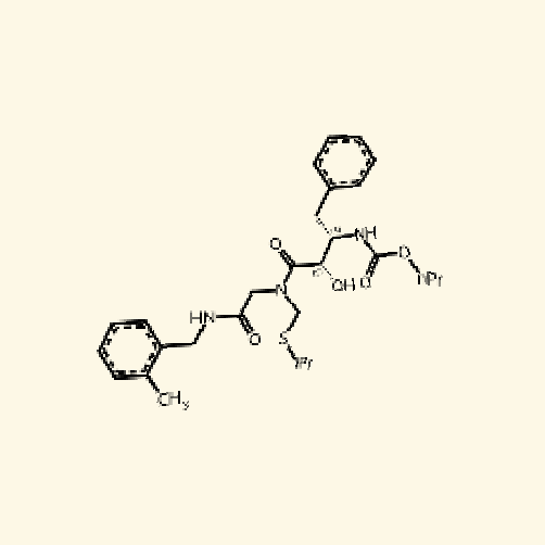 CCCOC(=O)N[C@@H](Cc1ccccc1)[C@H](O)C(=O)N(CSC(C)C)CC(=O)NCc1ccccc1C